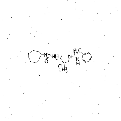 O=C(NCC1CCN(C(=O)Nc2ccccc2C(F)(F)F)CC1)N[C]1CCCCCCC1.[CH2].[CH2]